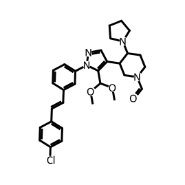 COC(OC)c1c(C2CN(C=O)CCC2N2CCCC2)cnn1-c1cccc(/C=C/c2ccc(Cl)cc2)c1